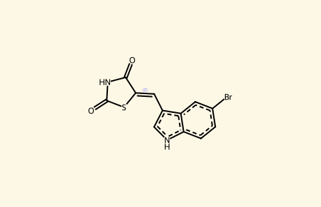 O=C1NC(=O)/C(=C/c2c[nH]c3ccc(Br)cc23)S1